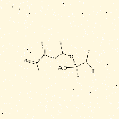 C=C(C)C(=O)OC(C)OC(F)(OC(C)=O)C(F)F